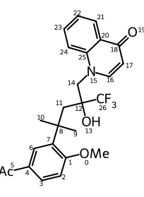 COc1ccc(C(C)=O)cc1C(C)(C)CC(O)(Cn1ccc(=O)c2ccccc21)C(F)(F)F